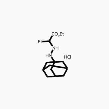 CCOC(=O)C(CC)NNC12CC3CC(CC(C3)C1)C2.Cl